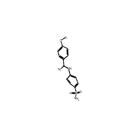 CCOc1ccc(C(C#N)Nc2ccc(S(N)(=O)=O)cc2)cc1